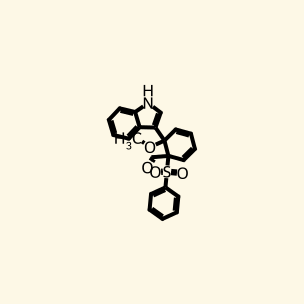 COC1(c2c[nH]c3ccccc23)C=CC=CC1(C=O)S(=O)(=O)c1ccccc1